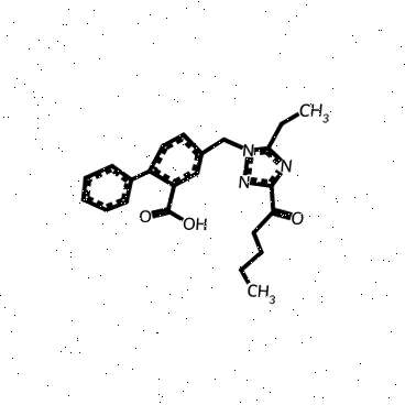 CCCCC(=O)c1nc(CC)n(Cc2ccc(-c3ccccc3)c(C(=O)O)c2)n1